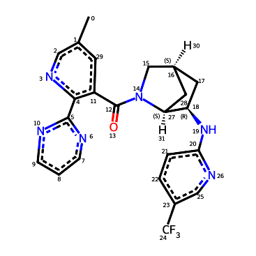 Cc1cnc(-c2ncccn2)c(C(=O)N2C[C@H]3C[C@@H](Nc4ccc(C(F)(F)F)cn4)[C@@H]2C3)c1